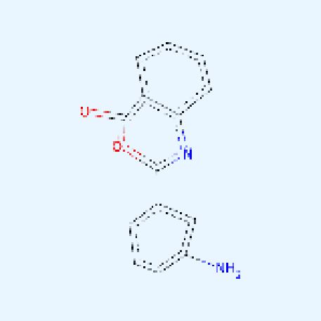 Nc1cccc(-c2nc3ccccc3c(=O)o2)c1